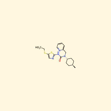 C[C@H]1CC[C@H](N(Cc2ccccn2)C(=O)Nc2ncc(SCC(=O)O)s2)CC1